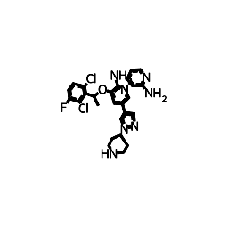 CC(Oc1cc(-c2cnn(C3CCNCC3)c2)cnc1N)c1c(Cl)ccc(F)c1Cl.Nc1ccccn1